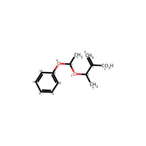 C=C(C(=O)O)C(C)OC(C)Oc1ccccc1